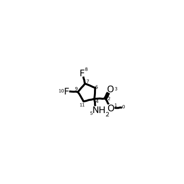 COC(=O)C1(N)CC(F)C(F)C1